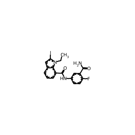 CCn1c(I)cc2cccc(C(=O)Nc3ccc(F)c(C(N)=O)c3)c21